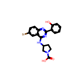 O=C(O)N1CCC(Nc2nc(-c3ccccc3O)nc3ccc(Br)cc23)C1